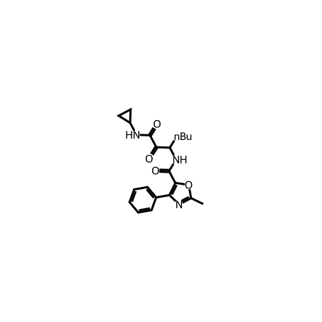 CCCCC(NC(=O)c1oc(C)nc1-c1ccccc1)C(=O)C(=O)NC1CC1